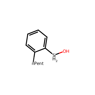 CCCCCc1ccccc1[SiH2]O